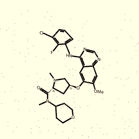 COc1cc2ncnc(Nc3cccc(Cl)c3F)c2cc1O[C@H]1C[C@H](C(=O)N(C)C2CCOCC2)N(C)C1